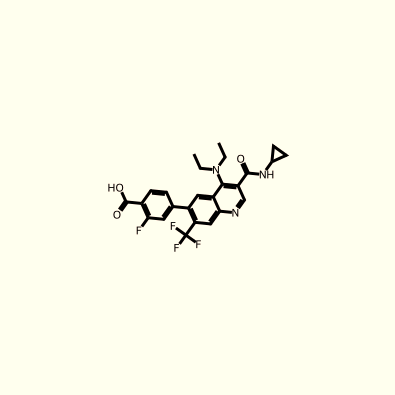 CCN(CC)c1c(C(=O)NC2CC2)cnc2cc(C(F)(F)F)c(-c3ccc(C(=O)O)c(F)c3)cc12